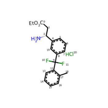 CCOC(=O)C[C@@H](N)c1cccc(C(F)(F)c2ccccc2C)c1.Cl